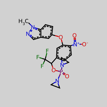 Cn1ncc2cc(Oc3cc(C(OP(=O)(N4CC4)N4CC4)C(F)(F)F)ccc3[N+](=O)[O-])ccc21